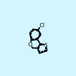 Clc1ccc2c(c1)-c1sccc1CO2